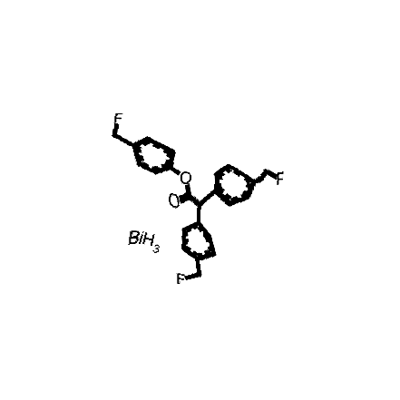 O=C(Oc1ccc(CF)cc1)C(c1ccc(CF)cc1)c1ccc(CF)cc1.[BiH3]